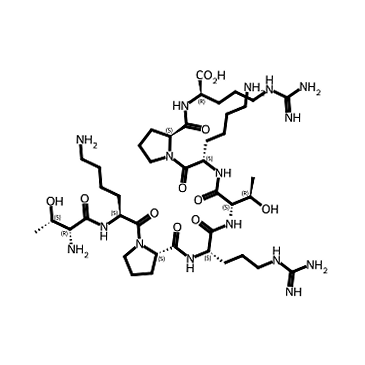 C[C@H](O)[C@@H](N)C(=O)N[C@@H](CCCCN)C(=O)N1CCC[C@H]1C(=O)N[C@@H](CCCNC(=N)N)C(=O)N[C@H](C(=O)N[C@@H](CCCCN)C(=O)N1CCC[C@H]1C(=O)N[C@H](CCCNC(=N)N)C(=O)O)[C@@H](C)O